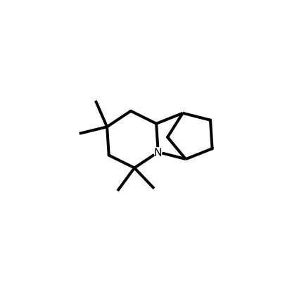 CC1(C)CC2C3CCC(C3)N2C(C)(C)C1